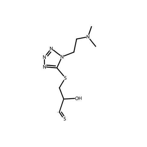 CN(C)CCn1nnnc1SCC(O)[C]=S